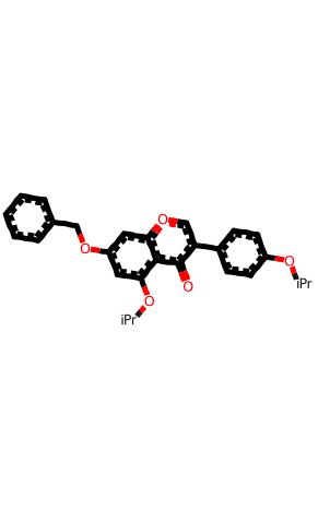 CC(C)Oc1ccc(-c2coc3cc(OCc4ccccc4)cc(OC(C)C)c3c2=O)cc1